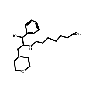 CCCCCCCCCCCCCCCCNC(CN1CCOCC1)C(O)c1ccccc1